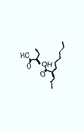 C=C(CC)C(=O)O.CCC=C(CCCCCC)C(=O)O